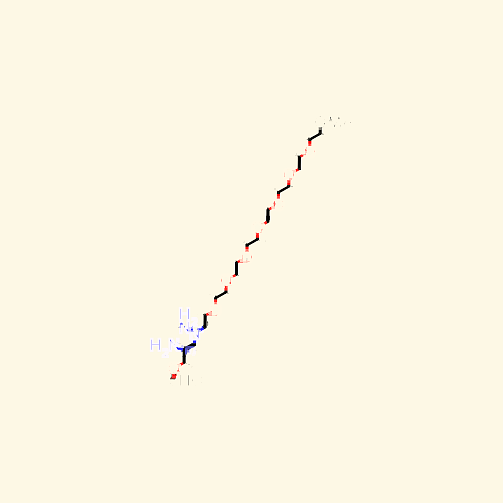 COCCOCCOCCOCCOCCOCCOCCOCCN(N)/C=C(\N)COC=O